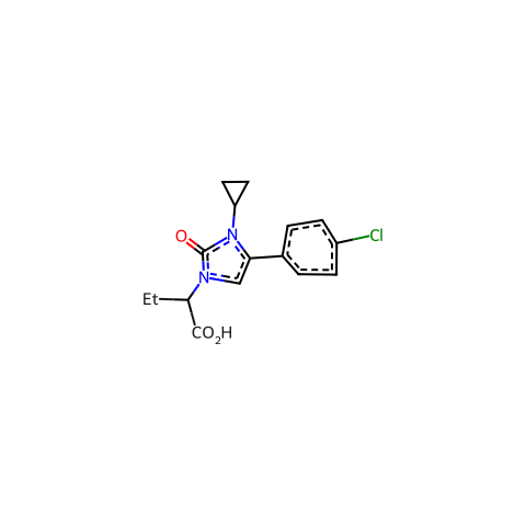 CCC(C(=O)O)n1cc(-c2ccc(Cl)cc2)n(C2CC2)c1=O